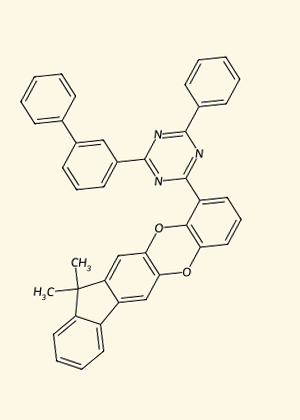 CC1(C)c2ccccc2-c2cc3c(cc21)Oc1c(cccc1-c1nc(-c2ccccc2)nc(-c2cccc(-c4ccccc4)c2)n1)O3